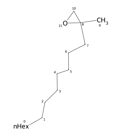 CCCCCCCCCCCCCC1(C)CO1